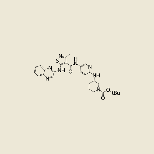 Cc1nsc(Nc2cnc3ccccc3n2)c1C(=O)Nc1ccc(NC2CCCN(C(=O)OC(C)(C)C)C2)nc1